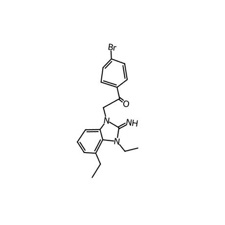 CCc1cccc2c1n(CC)c(=N)n2CC(=O)c1ccc(Br)cc1